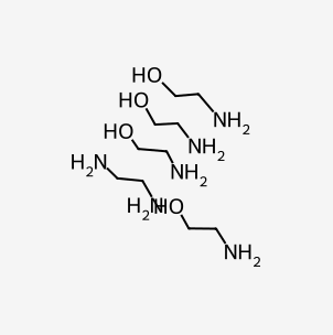 NCCN.NCCO.NCCO.NCCO.NCCO